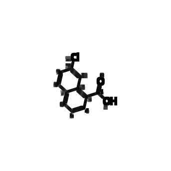 O=C(O)c1cccc2ccc(Cl)cc12